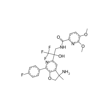 COc1ccc(C(=O)NCC(O)(c2cc3c(c(-c4ccc(F)cc4)n2)OCC3(C)N)C(F)(F)F)nc1OC